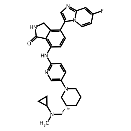 CN(C[C@H]1CCCN(c2ccc(Nc3ccc(-c4cnc5cc(F)ccn45)c4c3C(=O)NC4)nc2)C1)C1CC1